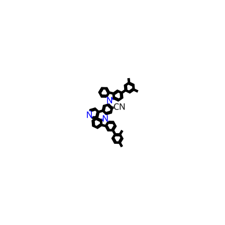 Cc1cc(C)cc(-c2ccc3c(c2)c2ccccc2n3-c2cc(-c3ccncc3)c(-n3c4ccccc4c4cc(-c5ccc(C)cc5C)ccc43)cc2C#N)c1